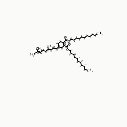 CCCCCCCCCCCOC(=O)C1=C(C(=O)OCCCCCCCCCCC)CC(CC/C=C(\C)CCC=C(C)C)=CC1